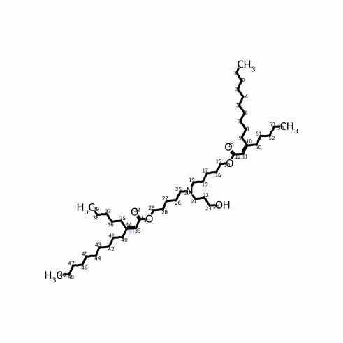 CCCCCCCCCCC(=CC(=O)OCCCCCN(CCCO)CCCCCOC(=O)/C=C(\CCCCC)CCCCCCCCCC)CCCCC